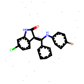 O=C1Nc2cc(Cl)ccc2/C1=C(/Nc1ccc(Br)cc1)c1ccccc1